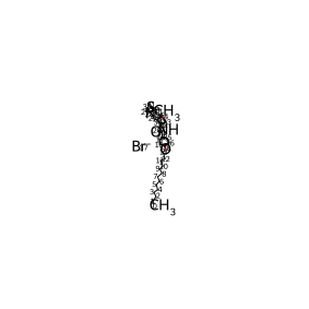 CCCCCCCCCCCCCCOc1ccc(C(=O)Nc2cccc(C[n+]3ccsc3C)c2)cc1.[Br-]